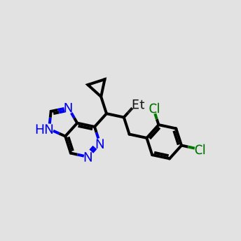 CCC(Cc1ccc(Cl)cc1Cl)C(c1nncc2[nH]cnc12)C1CC1